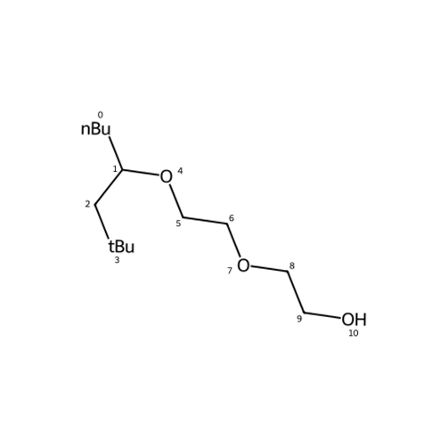 CCCCC(CC(C)(C)C)OCCOCCO